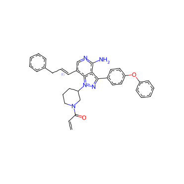 C=CC(=O)N1CCCC(n2nc(-c3ccc(Oc4ccccc4)cc3)c3c(N)ncc(/C=C/Cc4ccccc4)c32)C1